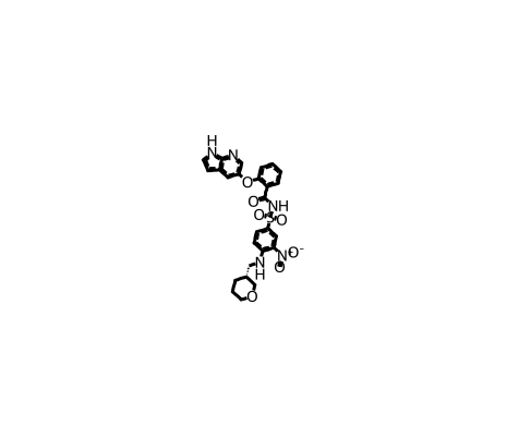 O=C(NS(=O)(=O)c1ccc(NC[C@H]2CCCOC2)c([N+](=O)[O-])c1)c1ccccc1Oc1cnc2[nH]ccc2c1